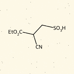 CCOC(=O)C(C#N)CS(=O)(=O)O